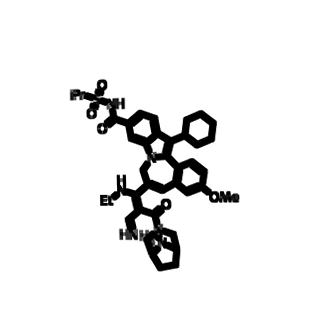 CCN/C(C1=Cc2cc(OC)ccc2-c2c(C3CCCCC3)c3ccc(C(=O)NS(=O)(=O)C(C)C)cc3n2C1)=C(\C=N)C(=O)N1CC2CCC(C1)N2C